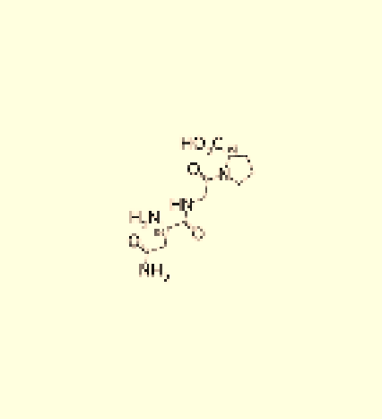 NC(=O)C[C@H](N)C(=O)NCC(=O)N1CCC[C@H]1C(=O)O